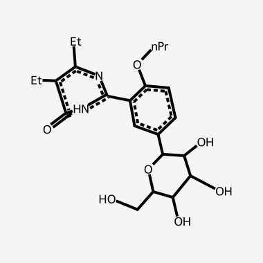 CCCOc1ccc(C2OC(CO)C(O)C(O)C2O)cc1-c1nc(CC)c(CC)c(=O)[nH]1